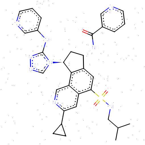 CC(C)CNS(=O)(=O)c1cc2c(c3cnc(C4CC4)cc13)[C@@H](n1cnnc1Nc1cccnc1)C[C@@H]2NC(=O)c1cccnc1